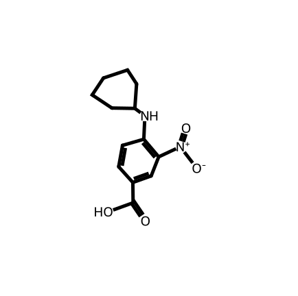 O=C(O)c1ccc(NC2CCCCC2)c([N+](=O)[O-])c1